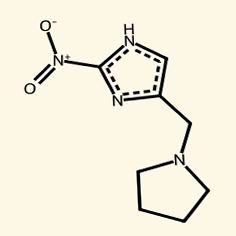 O=[N+]([O-])c1nc(CN2CCCC2)c[nH]1